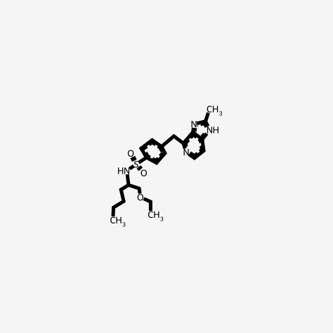 CCCCC(COCC)NS(=O)(=O)c1ccc(Cc2nccc3[nH]c(C)nc23)cc1